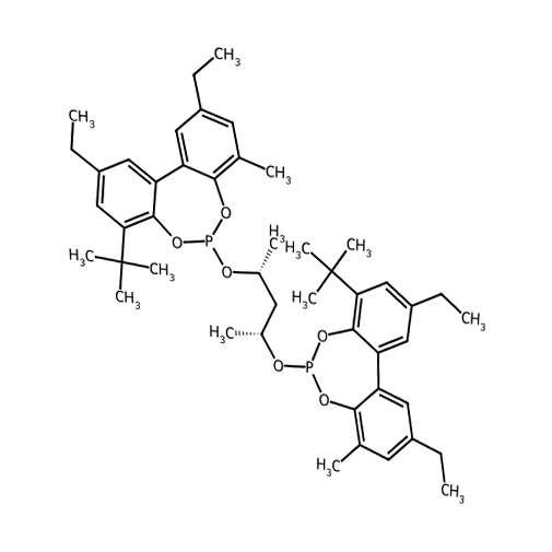 CCc1cc(C)c2op(O[C@H](C)C[C@@H](C)Op3oc4c(C)cc(CC)cc4c4cc(CC)cc(C(C)(C)C)c4o3)oc3c(C(C)(C)C)cc(CC)cc3c2c1